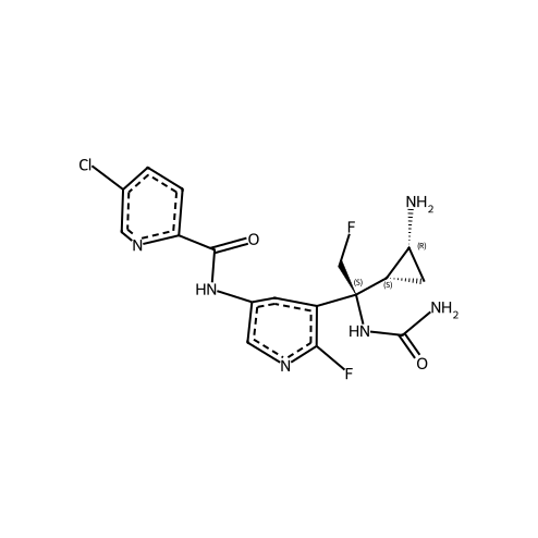 NC(=O)N[C@](CF)(c1cc(NC(=O)c2ccc(Cl)cn2)cnc1F)[C@H]1C[C@H]1N